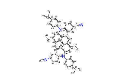 [C-]#[N+]c1ccc(N(c2ccc(C(C)C)cc2)c2cc(CC)c3ccc4c(N(c5ccc(C#N)cc5)c5ccc(C(C)C)cc5)cc(CC)c5ccc2c3c54)cc1